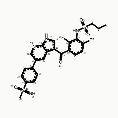 CCCS(=O)(=O)Nc1c(F)ccc(C(=O)c2c[nH]c3ncc(-c4ccc(S(C)(=N)=O)cc4)cc23)c1F